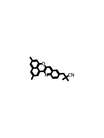 Cc1cc2c3c(cc(C)cc3c1)-c1nc3ccc(CC(C)(C)C#N)cc3cc1O2